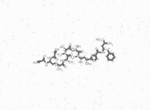 C#CC(=O)NC(CN[C@@H](C)C(=O)N[C@@H](C)C(=O)N(C)[C@H](C(=O)N[C@H](C(=O)N(C)[C@H](C[C@@H](OC(C)=O)c1nc(C(=O)N[C@@H](Cc2ccccc2)CC(C)C(=O)O)cs1)C(C)C)[C@@H](C)CC)C(C)C)NC(=O)C#C